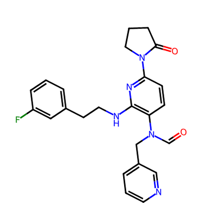 O=CN(Cc1cccnc1)c1ccc(N2CCCC2=O)nc1NCCc1cccc(F)c1